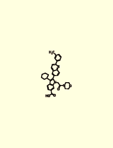 Cc1cccc(-c2ccc3cc(-c4c(C5CCCCC5)c5ccc(C(=O)O)cc5n4CC(=O)N4CCOCC4)ccc3n2)c1